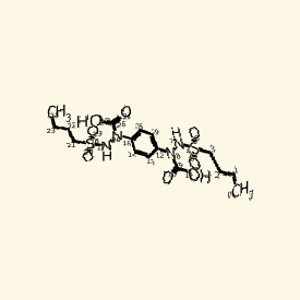 CCCCS(=O)(=O)NN(C(=O)O)c1ccc(N(NS(=O)(=O)CCCC)C(=O)O)cc1